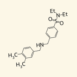 CCN(CC)S(=O)(=O)c1ccc(CNCc2ccc(C)c(C)c2)cc1